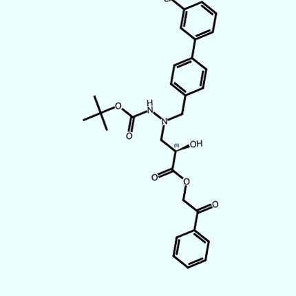 CC(C)(C)OC(=O)NN(Cc1ccc(-c2cccc(Cl)c2)cc1)C[C@@H](O)C(=O)OCC(=O)c1ccccc1